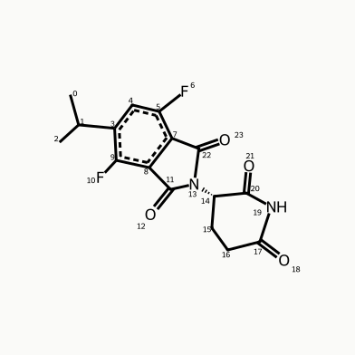 CC(C)c1cc(F)c2c(c1F)C(=O)N([C@H]1CCC(=O)NC1=O)C2=O